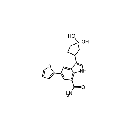 NC(=O)c1cc(-c2ccco2)cc2c(C3CCS(O)(O)C3)c[nH]c12